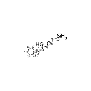 C[N+](C)(CC(O)COCCC[SiH3])c1ccccc1